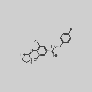 N=C(NCc1ccc(F)cc1)c1cc(Cl)c(N=C2NCCN2)c(Cl)c1